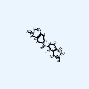 CC(c1ccc2c(c1)CN(C)CO2)c1ccc2c(c1)CN(I)CO2